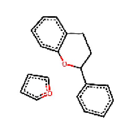 c1ccc(C2CCc3ccccc3O2)cc1.c1ccoc1